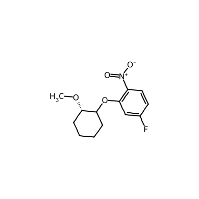 CO[C@H]1CCCCC1Oc1cc(F)ccc1[N+](=O)[O-]